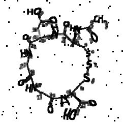 CC(=O)N[C@H]1CSSSC[C@@H](C(=O)O)NC(=O)CNC(=O)CNC(=O)[C@H](CC(=O)O)NC1=O